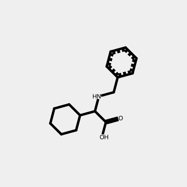 O=C(O)C(NCc1ccccc1)C1CCCCC1